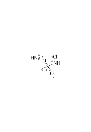 CS(=O)(=O)NCl.[NaH]